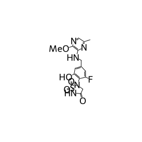 COc1ncc(C)nc1NCc1cc(O)c(N2CC(=O)NS2(=O)=O)c(F)c1